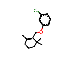 CC1=C(COc2cccc(Cl)c2)C(C)(C)CCC1